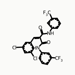 O=C(Nc1cccc(C(F)(F)F)c1)C(=Cc1cc(Cl)cc(Cl)c1)C(=O)Nc1cccc(C(F)(F)F)c1